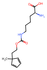 CC1(CCOC(=O)NCCCC[C@H](N)C(=O)O)C=CC=C1